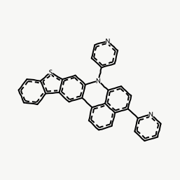 c1ccc(-c2ccc3c4c(cccc24)-c2cc4c(cc2N3c2ccncc2)sc2ccccc24)nc1